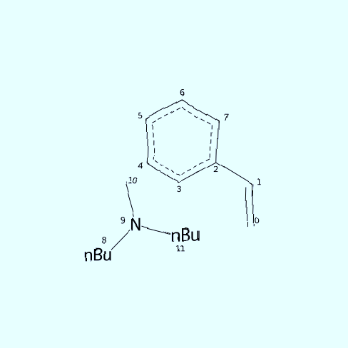 C=Cc1ccccc1.CCCCN(C)CCCC